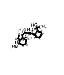 C[C@@H](C#Cc1ccccc1C(C)(C)O)[C@H]1CC[C@H]2[C@@H](O)CCC[C@]12C